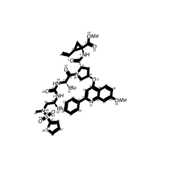 C=CC1C[C@]1(NC(=O)[C@@H]1C[C@@H](Oc2cc(-c3ccccc3)nc3cc(OC)ccc23)CN1C(=O)[C@@H](NC(=O)N[C@H](CN(C)S(=O)(=O)c1cccs1)C(C)(C)C)C(C)(C)C)C(=O)OC